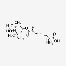 CC1(C)CC(OC(=O)NCCCC[C@H](N)C(=O)O)CC(C)(C)N1O